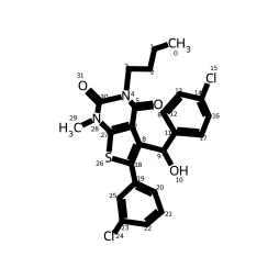 CCCCn1c(=O)c2c(C(O)c3ccc(Cl)cc3)c(-c3cccc(Cl)c3)sc2n(C)c1=O